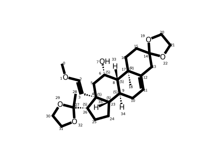 COC=C[C@]12C[C@H](O)[C@H]3[C@@H](CC=C4CC5(CC[C@@]43C)OCCO5)[C@@H]1CC[C@@H]2C1(C)OCCO1